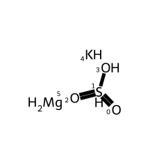 O=[SH](=O)O.[KH].[MgH2]